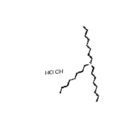 CCCCCCCCP(CCCCCCCC)CCCCCCCC.Cl.Cl